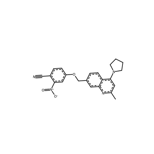 Cc1cc(N2CCCC2)c2ccc(COc3ccc(C#N)c([N+](=O)[O-])c3)cc2n1